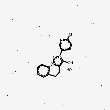 Oc1c2[n+](nn1-c1ccc(Cl)nc1)-c1ccccc1CC2.[OH-]